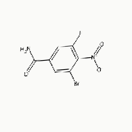 NC(=O)c1cc(F)c([N+](=O)[O-])c(Br)c1